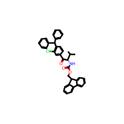 CC(C)[C@H](NC(=O)OCC1c2ccccc2-c2ccccc21)C(=O)c1ccc([C](c2ccccc2)c2ccccc2)c(Cl)c1